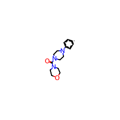 O=C(N1CCOCC1)N1CCN(c2cc[c]cc2)CC1